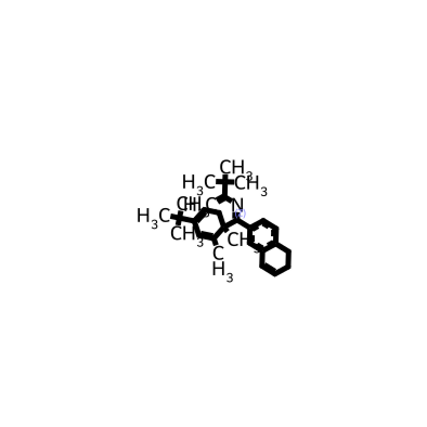 C=C(/N=C(/c1ccc2c(c1)C=CCC2)C1(C)CC=C(C(C)(C)C)C=C1C)C(C)(C)C